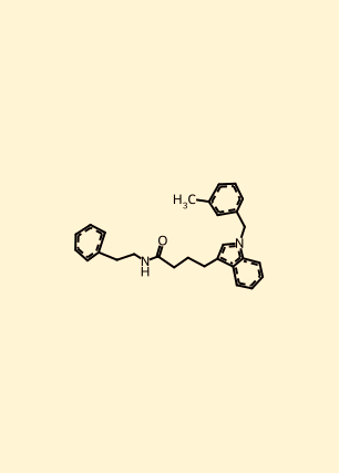 Cc1cccc(Cn2cc(CCCC(=O)NCCc3ccccc3)c3ccccc32)c1